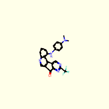 CN(C)c1ccc(Nc2cccc3ncc4c(c23)-c2cnc(C(F)(F)F)nc2C4=O)cc1